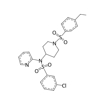 CCc1ccc(S(=O)(=O)N2CCC(N(c3ccccn3)S(=O)(=O)c3cccc(Cl)c3)CC2)cc1